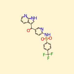 O=C(c1ccc(NS(=O)(=O)c2ccc(C(F)(F)F)cc2)nc1)c1c[nH]c2ncccc12